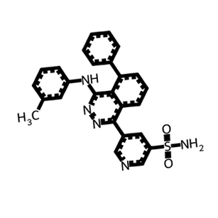 Cc1cccc(Nc2nnc(-c3cncc(S(N)(=O)=O)c3)c3cccc(-c4ccccc4)c23)c1